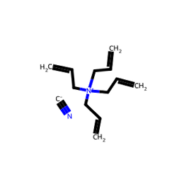 C=CC[N+](CC=C)(CC=C)CC=C.[C-]#N